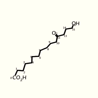 O=C(O)CCCCCCCCCCC(=O)CCCO